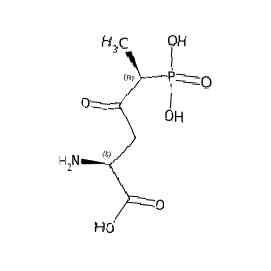 C[C@H](C(=O)C[C@H](N)C(=O)O)P(=O)(O)O